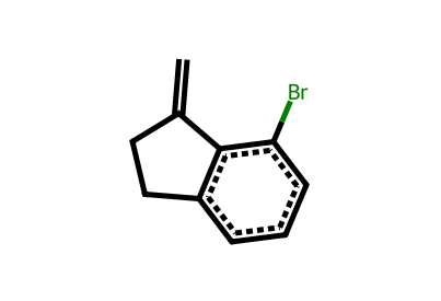 C=C1CCc2cccc(Br)c21